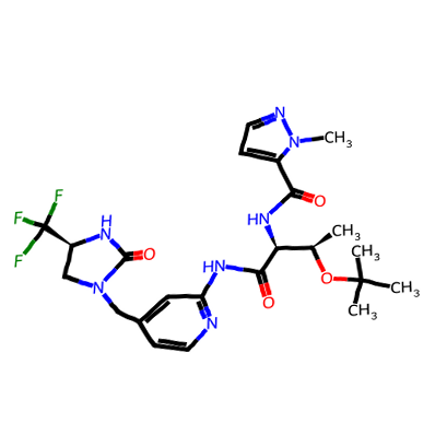 C[C@@H](OC(C)(C)C)[C@H](NC(=O)c1ccnn1C)C(=O)Nc1cc(CN2C[C@@H](C(F)(F)F)NC2=O)ccn1